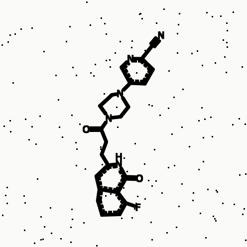 N#Cc1ccc(N2CCN(C(=O)CCc3cc4cccc(F)c4c(=O)[nH]3)CC2)cn1